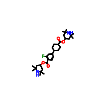 CC1(C)CC(OC(=O)c2ccc(C3CCC(C(=O)OC4CC(C)(C)NC(C)(C)C4)CC3)cc2F)CC(C)(C)N1